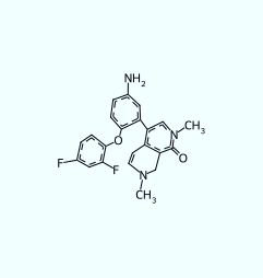 CN1C=Cc2c(-c3cc(N)ccc3Oc3ccc(F)cc3F)cn(C)c(=O)c2C1